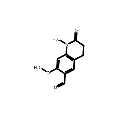 COc1cc2c(cc1C=O)CCC(=O)N2C